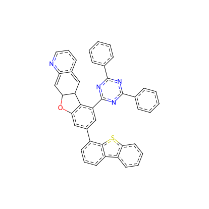 C1=c2cccnc2=CC2Oc3cc(-c4cccc5c4sc4ccccc45)cc(-c4nc(-c5ccccc5)nc(-c5ccccc5)n4)c3C12